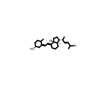 CC1CC[C@H](O)C/C1=C/C=C1\CCC[C@]2(C)[C@@H](C(C)/C=C/C(C)C(C)C)CC[C@@H]12